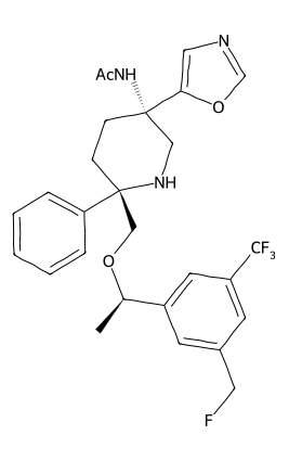 CC(=O)N[C@@]1(c2cnco2)CC[C@@](CO[C@H](C)c2cc(CF)cc(C(F)(F)F)c2)(c2ccccc2)NC1